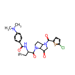 CC(C)CC(NC(=O)c1ccc(N(C)C)cc1)C(=O)N1CCC2C1C(=O)CN2C(=O)c1ccc(Cl)s1